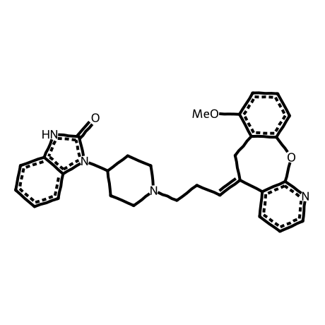 COc1cccc2c1CC(=CCCN1CCC(n3c(=O)[nH]c4ccccc43)CC1)c1cccnc1O2